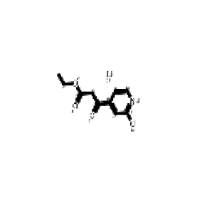 CCOC(=O)CC(=O)c1ccnc(Cl)c1.[Li]